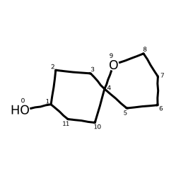 OC1CCC2(CCCCO2)CC1